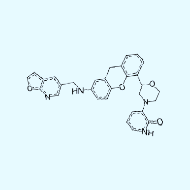 O=c1[nH]cccc1N1CCOC(c2cccc3c2Oc2ccc(NCc4cnc5occc5c4)cc2C3)C1